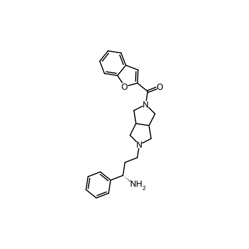 N[C@@H](CCN1CC2CN(C(=O)c3cc4ccccc4o3)CC2C1)c1ccccc1